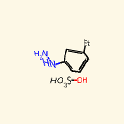 CCc1cccc(NN)c1.O=S(=O)(O)O